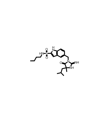 CCCCNS(=O)(=O)c1cc2cc(CN3C(=N)NC(C)(CC(C)C)C3=O)ccc2[nH]1